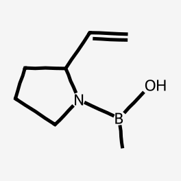 C=CC1CCCN1B(C)O